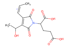 C/C=C\C1=C(C(C)O)C(=O)N(C(CCC(=O)O)C(=O)O)C1=O